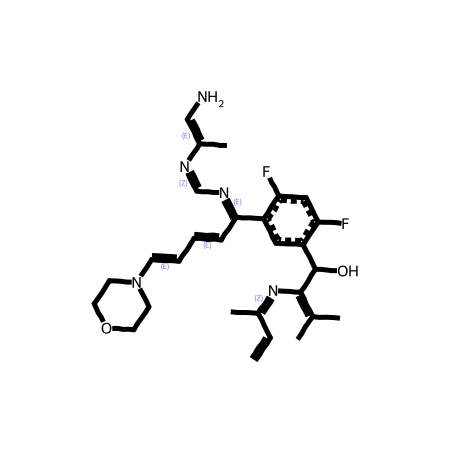 C=C/C(C)=N\C(=C(C)C)C(O)c1cc(C(/C=C/C=C/N2CCOCC2)=N/C=N\C(C)=C\N)c(F)cc1F